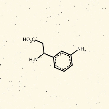 Nc1cccc(C(N)CC(=O)O)c1